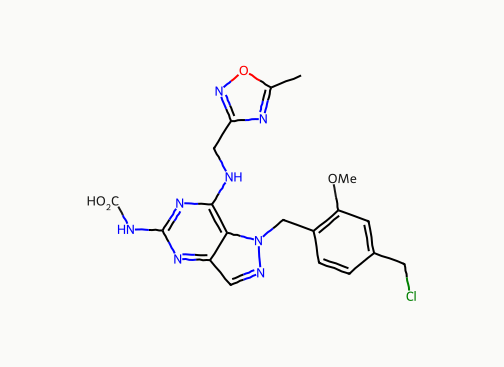 COc1cc(CCl)ccc1Cn1ncc2nc(NC(=O)O)nc(NCc3noc(C)n3)c21